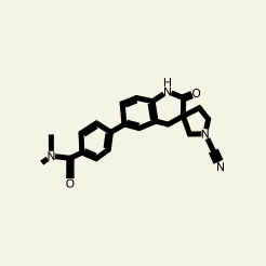 CN(C)C(=O)c1ccc(-c2ccc3c(c2)CC2(CCN(C#N)C2)C(=O)N3)cc1